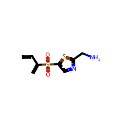 C=CC(=C)S(=O)(=O)c1cnc(CN)s1